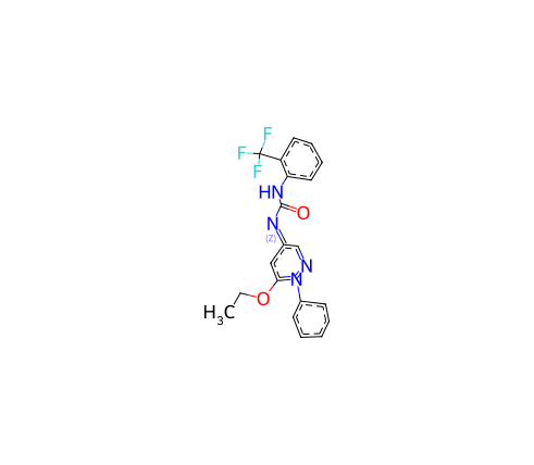 CCOc1c/c(=N/C(=O)Nc2ccccc2C(F)(F)F)cnn1-c1ccccc1